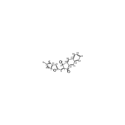 Cc1nc2oc(C=C3C(=O)c4cc5ccccc5cc4C3=O)cc2s1